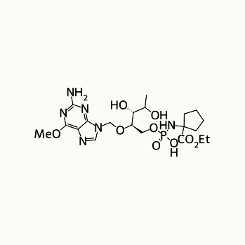 CCOC(=O)C1(NP(=O)(O)OC[C@@H](OCn2cnc3c(OC)nc(N)nc32)[C@H](O)C(C)O)CCCC1